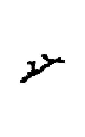 CCCCOC(=O)CCCCCCC(O)CN(CCCC(=O)OCCN1CCN(CCSSCCCCN(CC(O)CCCCC(=O)OCCCC)CC(O)CCCCC(=O)OCCCC)CC1)CC(O)CCCCCCC(=O)OCCCC